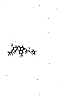 COc1ccc2c(c1)C(CC(=O)NCc1ccco1)=C(C)/C2=C/c1cc(OC)c(OCC(=O)O)c(OC)c1